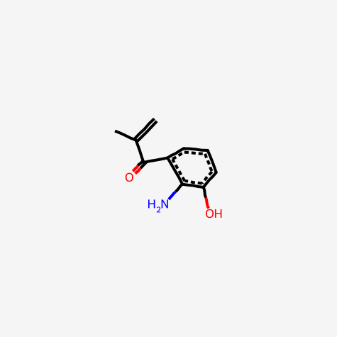 C=C(C)C(=O)c1cccc(O)c1N